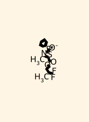 CC(CCOC(=O)c1sc([S+]([O-])c2ccccc2)nc1C)=C(F)F